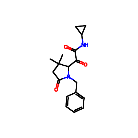 CC1(C)CC(=O)N(Cc2ccccc2)C1C(=O)C(=O)NC1CC1